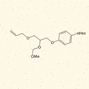 C=CCOCC(COc1ccc(CCCCCC)cc1)OCOC